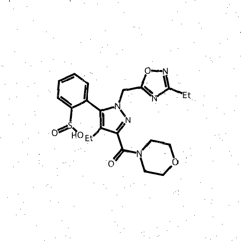 CCc1noc(Cn2nc(C(=O)N3CCOCC3)c(CC)c2-c2ccccc2S(=O)O)n1